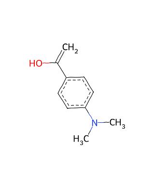 C=C(O)c1ccc(N(C)C)cc1